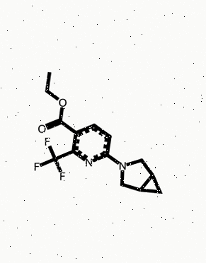 CCOC(=O)c1ccc(N2CC3CC3C2)nc1C(F)(F)F